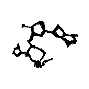 CC(=O)O.Fc1ccc(-c2ccc3[nH]ncc3c2)cc1CN1CCNC[C@H]1c1cccs1